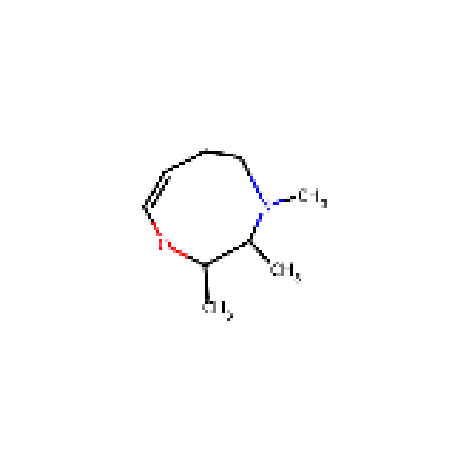 CC1O/C=C\CCN(C)C1C